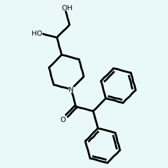 O=C(C(c1ccccc1)c1ccccc1)N1CCC(C(O)CO)CC1